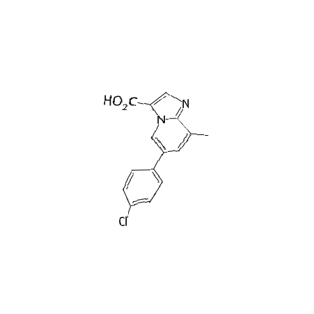 Cc1cc(-c2ccc(Cl)cc2)cn2c(C(=O)O)cnc12